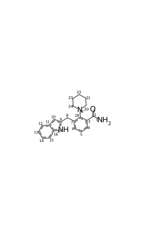 NC(=O)c1cccc(Cc2cc3ccccc3[nH]2)c1N1CCCCC1